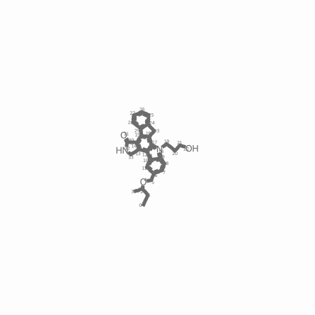 CCC(C)OCc1ccc2c(c1)c1c3c(c4c(c1n2CCCO)Cc1ccccc1-4)C(=O)NC3